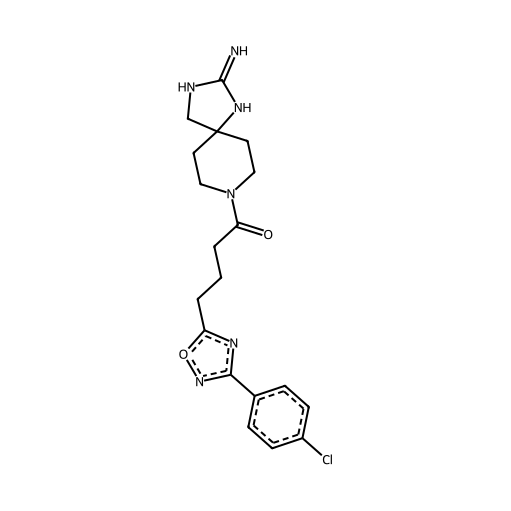 N=C1NCC2(CCN(C(=O)CCCc3nc(-c4ccc(Cl)cc4)no3)CC2)N1